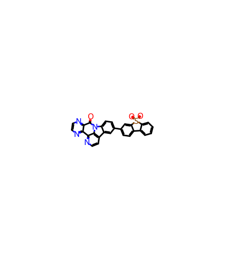 O=c1c2nccnc2c2nccc3c4cc(-c5ccc6c(c5)S(=O)(=O)c5ccccc5-6)ccc4n1c32